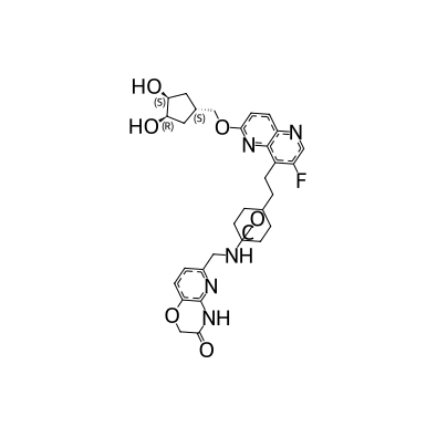 O=C1COc2ccc(CNC34CCC(CCc5c(F)cnc6ccc(OC[C@@H]7C[C@@H](O)[C@@H](O)C7)nc56)(CC3)OC4)nc2N1